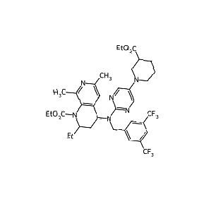 CCOC(=O)C1CCCN(c2cnc(N(Cc3cc(C(F)(F)F)cc(C(F)(F)F)c3)C3CC(CC)N(C(=O)OCC)c4c3cc(C)nc4C)nc2)C1